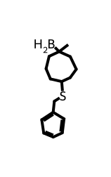 BC1(C)CCCC(SCc2ccccc2)CCC1